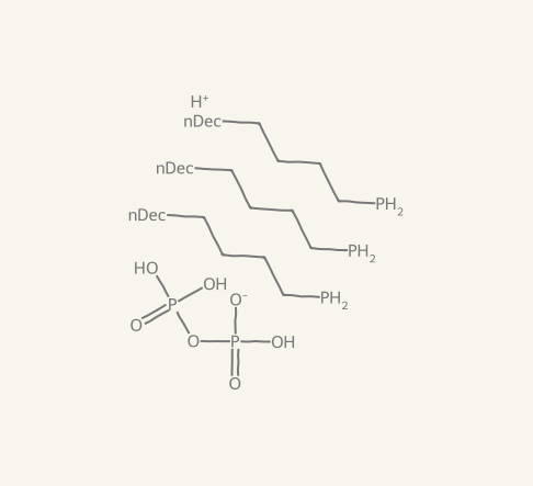 CCCCCCCCCCCCCCP.CCCCCCCCCCCCCCP.CCCCCCCCCCCCCCP.O=P([O-])(O)OP(=O)(O)O.[H+]